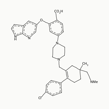 CNCC1(C)CCC(c2ccc(Cl)cc2)=C(CN2CCN(c3ccc(C(=O)O)c(Oc4cnc5[nH]ccc5c4)c3)CC2)C1